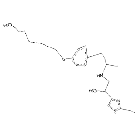 Cc1nc(C(O)CNC(C)Cc2ccc(OCCCCCCO)cc2)cs1